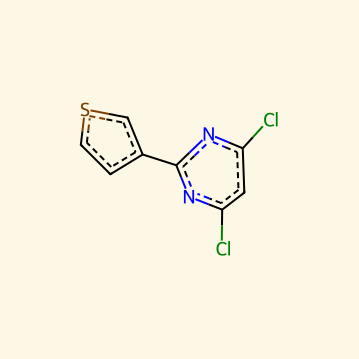 Clc1cc(Cl)nc(-c2ccsc2)n1